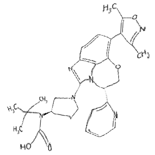 Cc1noc(C)c1-c1ccc2nc(N3CC[C@@H](N(C(=O)O)C(C)(C)C)C3)n3c2c1OC[C@@H]3c1ccccn1